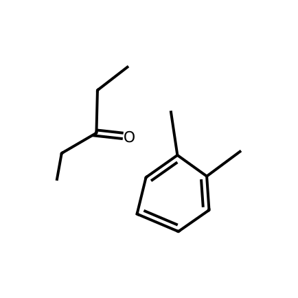 CCC(=O)CC.Cc1ccccc1C